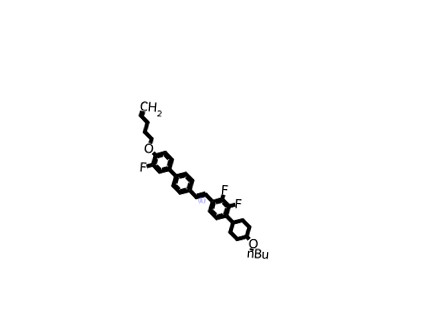 C=CCCCOc1ccc(-c2ccc(/C=C/c3ccc(C4CCC(OCCCC)CC4)c(F)c3F)cc2)cc1F